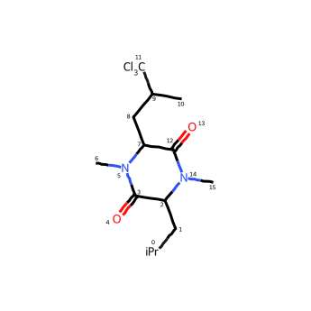 CC(C)CC1C(=O)N(C)C(CC(C)C(Cl)(Cl)Cl)C(=O)N1C